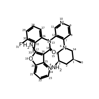 C[C@H]1C[C@@H](N)CN(c2ccncc2N(C(=O)c2c(N)oc3cccnc23)c2cccc(F)c2F)C1